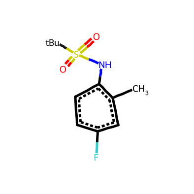 Cc1cc(F)ccc1NS(=O)(=O)C(C)(C)C